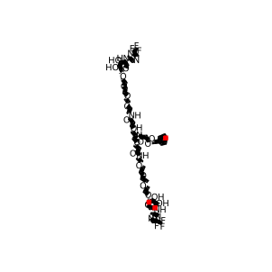 O=C(CCOCC(COCCC(=O)NCCOCCOCCOCCOC[C@H]1OC[C@H](Nc2cncc(C(F)(F)F)n2)[C@@H](O)[C@H]1O)NC(=O)CC(=O)OCc1ccccc1)NCCOCCOCCOCCOC[C@H]1OC[C@H](Nc2cncc(C(F)(F)F)n2)[C@@H](O)[C@H]1O